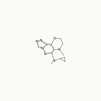 CN1CCOc2c1c(N(C)C1CC1)nn1cnnc21